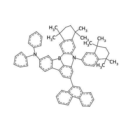 CC1(C)CCC(C)(C)c2cc(N3c4cc5c(cc4B4c6cc(N(c7ccccc7)c7ccccc7)ccc6-c6cc(-c7cc8ccccc8c8ccccc78)cc3c64)C(C)(C)CCC5(C)C)ccc21